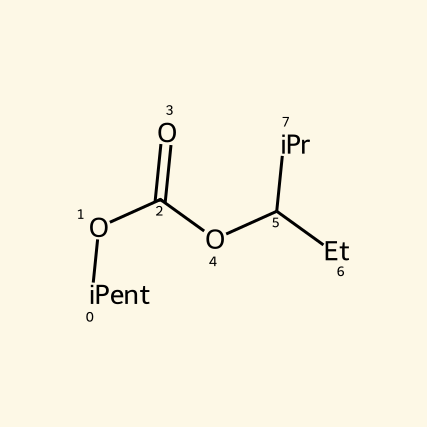 CCCC(C)OC(=O)OC(CC)C(C)C